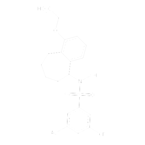 CC(=O)c1cc(C(F)(F)F)cc(S(=O)(=O)N(C)C2CCCCc3c(OCC(=O)O)cccc32)c1